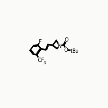 CC(C)(C)OC(=O)N1CC(/C=C/c2c(F)cccc2C(F)(F)F)C1